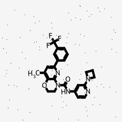 Cc1cc(-c2cccc(C(F)(F)F)c2)nc2c1OCCN2C(=O)Nc1ccnc(N2CCC2)c1